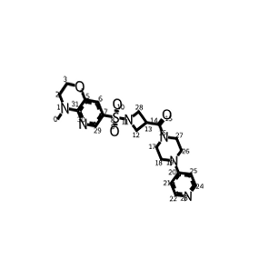 CN1CCOc2cc(S(=O)(=O)N3CC(C(=O)N4CCN(c5ccncc5)CC4)C3)cnc21